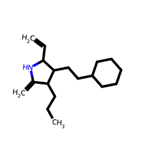 C=CC1NC(=C)C(CCC)C1CCC1CCCCC1